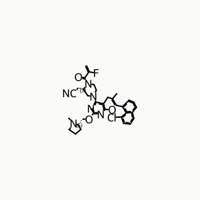 C=C(F)C(=O)N1CCN(c2nc(OC[C@@H]3CCCN3C)nc3c2CC(C)=C(c2cccc4cccc(Cl)c24)O3)C[C@@H]1CC#N